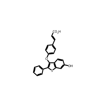 O=C(O)/C=C/c1ccc(Oc2c(-c3ccccc3)sc3cc(O)ccc23)cc1